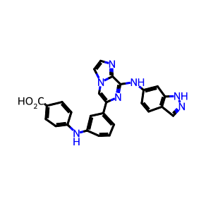 O=C(O)c1ccc(Nc2cccc(-c3cn4ccnc4c(Nc4ccc5cn[nH]c5c4)n3)c2)cc1